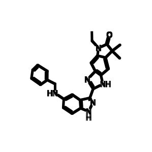 CCN1C(=O)C(C)(C)c2cc3[nH]c(-c4n[nH]c5ccc(NCc6ccccc6)cc45)nc3cc21